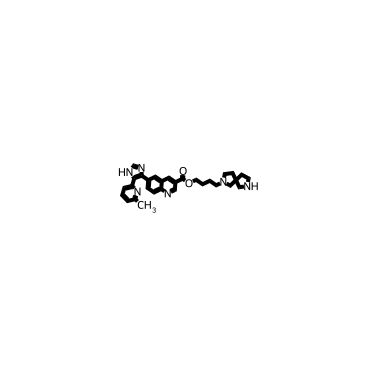 Cc1cccc(-c2[nH]cnc2-c2ccc3ncc(C(=O)OCCCCN4CCC5(CCNC5)C4)cc3c2)n1